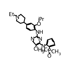 CCN1CCC(c2ccc(Nc3ncc(Cl)c(Nc4ccccc4P(C)(C)=O)n3)c(OC(C)C)c2)CC1